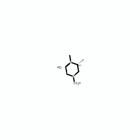 C[C@@H]1CN(C(=O)O)CCN1C.Cl